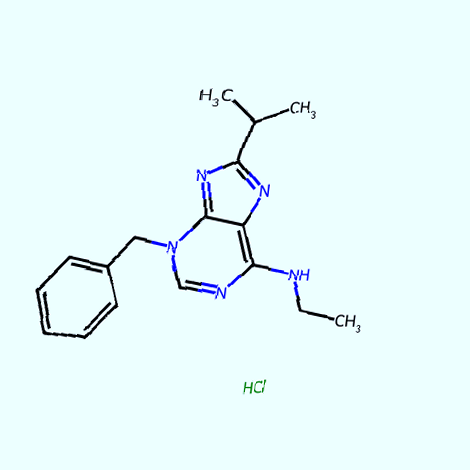 CCNc1ncn(Cc2ccccc2)c2nc(C(C)C)nc1-2.Cl